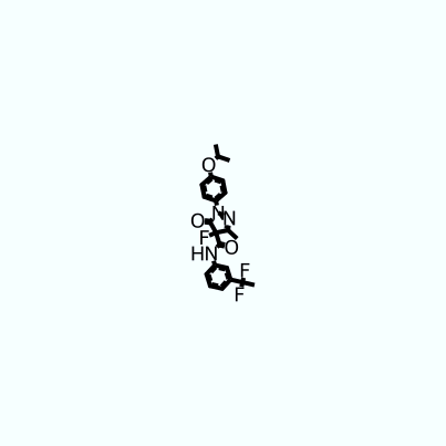 CC1=NN(c2ccc(OC(C)C)cc2)C(=O)C1(F)C(=O)Nc1cccc(C(C)(F)F)c1